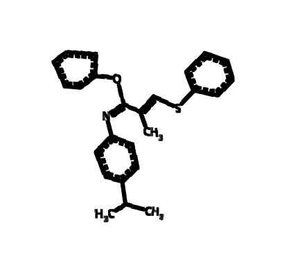 CC(=C\Sc1ccccc1)/C(=N\c1ccc(C(C)C)cc1)Oc1ccccc1